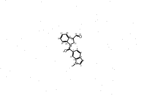 Cn1ccc2ccc(C(=O)N3CC(C=O)c4ccccc43)cc21